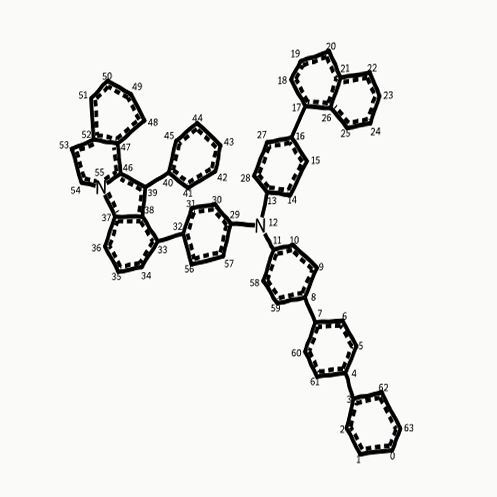 c1ccc(-c2ccc(-c3ccc(N(c4ccc(-c5cccc6ccccc56)cc4)c4ccc(-c5cccc6c5c(-c5ccccc5)c5c7ccccc7ccn65)cc4)cc3)cc2)cc1